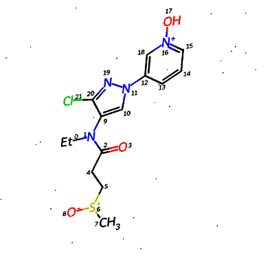 CCN(C(=O)CC[S+](C)[O-])c1cn(-c2ccc[n+](O)c2)nc1Cl